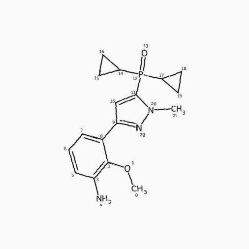 COc1c(N)cccc1-c1cc(P(=O)(C2CC2)C2CC2)n(C)n1